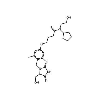 Cc1cc(OCCCC(=O)N(CCO)C2CCCC2)cc2c1CN1C(=N2)NC(=O)C1CO